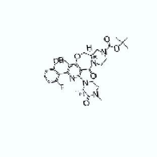 C[C@H]1C(=O)N(C)CCN1c1nc(-c2c(O)cccc2F)c(Cl)c2c1C(=O)N1CCN(C(=O)OC(C)(C)C)C[C@@H]1CO2